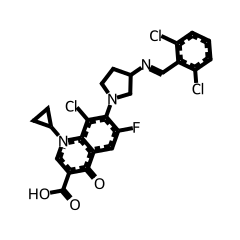 O=C(O)c1cn(C2CC2)c2c(Cl)c(N3CCC(N=Cc4c(Cl)cccc4Cl)C3)c(F)cc2c1=O